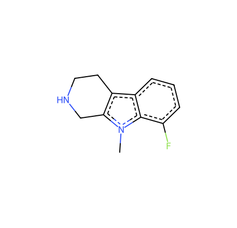 Cn1c2c(c3cccc(F)c31)CCNC2